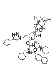 CC1(C)[C@@H]2C[C@H]3OB([C@H](CCCCn4cc(-c5ccccc5)nn4)NC(=O)[C@@H]4C[C@@H](N5CCCCC5)CN4C(=O)[C@@H](CC4CCCCC4)NC(=O)c4ccc5ccccc5c4)O[C@@]3(C)[C@H]1C2